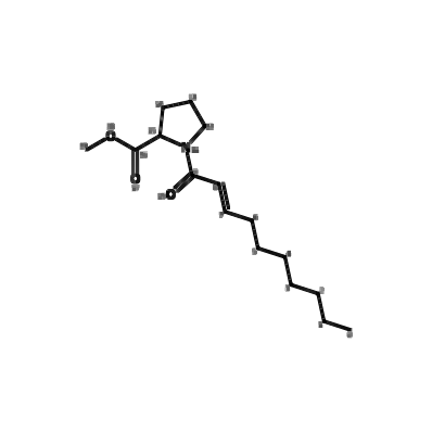 CCCCCCC/C=C/C(=O)N1CCCC1C(=O)OC